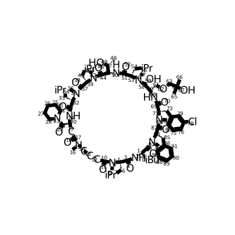 CC[C@H](C)[C@@H]1NC(=O)[C@H](CC(C)C)N(C)C(=O)CCCN(C)C(=O)C[C@@H](C(=O)N2CCCCC2)NC(=O)[C@H](CC(C)C)N(C)C(=O)[C@H](CC(C)C)N(C)C(=O)[C@H]([C@@H](C)O)NC(=O)[C@H](CC(C)C)N(C)C(O)[C@H](COCC(C)(C)O)NC(=O)[C@H](Cc2cccc(Cl)c2)N(C)C(=O)[C@H](Cc2ccccc2)N(C)C1=O